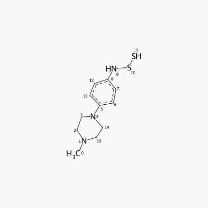 CN1CCN(c2ccc(NSS)cc2)CC1